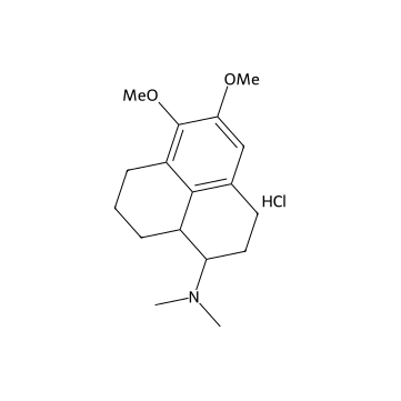 COc1cc2c3c(c1OC)CCCC3C(N(C)C)CC2.Cl